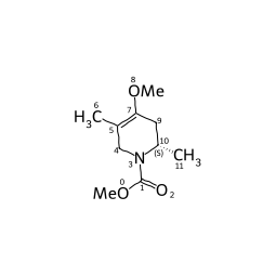 COC(=O)N1CC(C)=C(OC)C[C@@H]1C